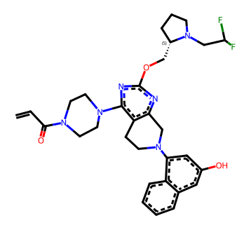 C=CC(=O)N1CCN(c2nc(OC[C@@H]3CCCN3CC(F)F)nc3c2CCN(c2cc(O)cc4ccccc24)C3)CC1